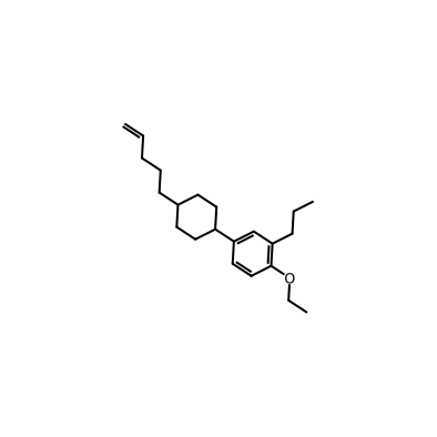 C=CCCCC1CCC(c2ccc(OCC)c(CCC)c2)CC1